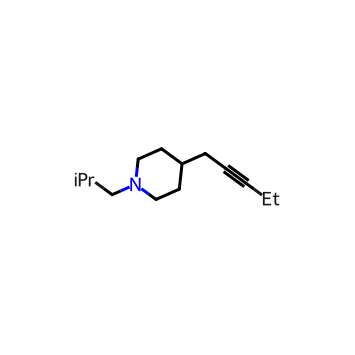 CCC#CCC1CCN(CC(C)C)CC1